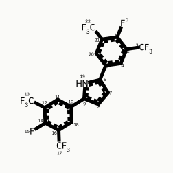 Fc1c(C(F)(F)F)cc(-c2ccc(-c3cc(C(F)(F)F)c(F)c(C(F)(F)F)c3)[nH]2)cc1C(F)(F)F